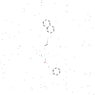 CCOC(=O)CO[C@@H](C(=O)OCc1ccccc1)[C@@H](OCC=CCCc1ccc2ccccc2c1)C(=O)O